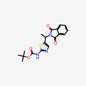 CC(c1cnc(NC(=O)OC(C)(C)C)s1)N1C(=O)c2ccccc2C1=O